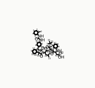 Cc1ccccc1NC(=O)Nc1ccc(CN2C(=O)N(C(CC(C)C)C(=O)N[C@@H](C(=O)OC(C)(C)C)N(C(=O)[C@@H](N)CC(=O)O)c3ccccc3)C(=O)C2(C)c2ccccc2)cc1